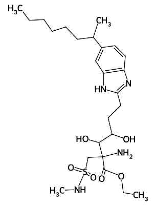 CCCCCCC(C)c1ccc2nc(CCC(O)C(O)C(N)(CS(=O)(=O)NC)C(=O)OCC)[nH]c2c1